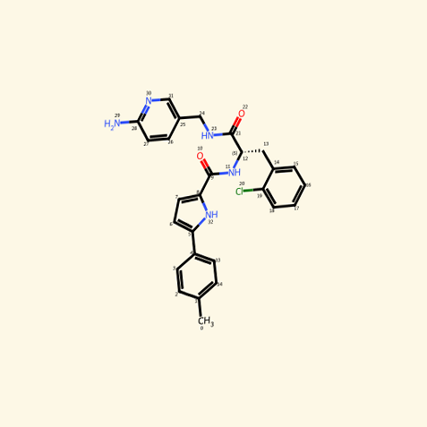 Cc1ccc(-c2ccc(C(=O)N[C@@H](Cc3ccccc3Cl)C(=O)NCc3ccc(N)nc3)[nH]2)cc1